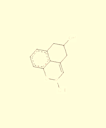 OB1C=C2CC(O)Cc3cccc(c32)O1